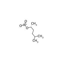 CC(C)CC[C@@H](C)O[N+](=O)[O-]